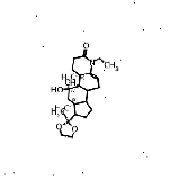 CCN1C(=O)CC[C@@]2(C)C1=CCC1C3CCC(C4(C)OCCO4)[C@@]3(C)C[C@](C)(O)C12